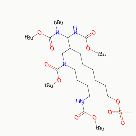 CCCCN(C(=O)OC(C)(C)C)C(NC(=O)OC(C)(C)C)C(CCCCCCOS(C)(=O)=O)CN(CCCCNC(=O)OC(C)(C)C)C(=O)OC(C)(C)C